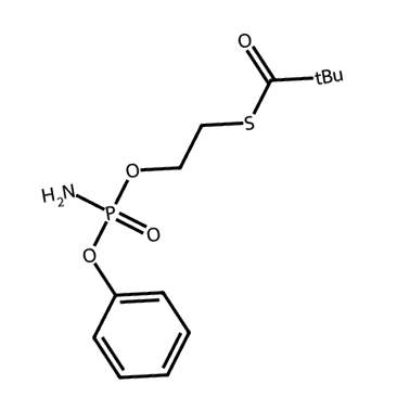 CC(C)(C)C(=O)SCCOP(N)(=O)Oc1ccccc1